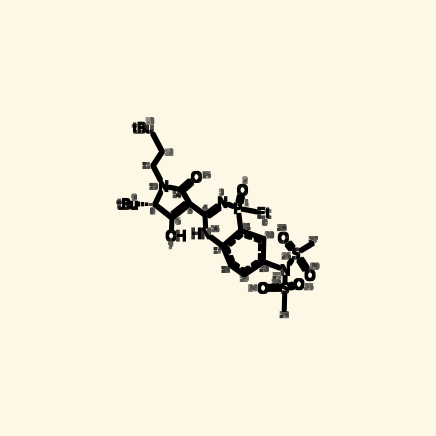 CCP1(=O)N=C(C2=C(O)[C@H](C(C)(C)C)N(CCC(C)(C)C)C2=O)Nc2ccc(N(S(C)(=O)=O)S(C)(=O)=O)cc21